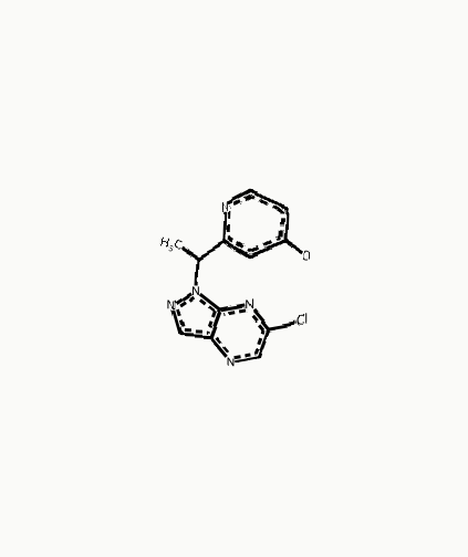 CC(c1cc(Cl)ccn1)n1ncc2ncc(Cl)nc21